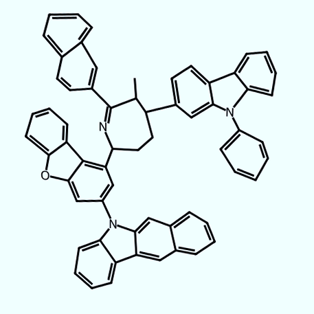 CC1C(c2ccc3ccccc3c2)=NC(c2cc(-n3c4ccccc4c4cc5ccccc5cc43)cc3oc4ccccc4c23)CCC1c1ccc2c3ccccc3n(-c3ccccc3)c2c1